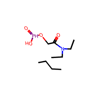 CCCC.CCN(CC)C(=O)CO[PH](=O)O